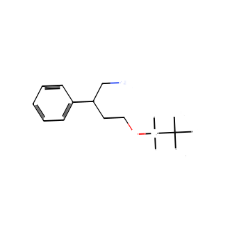 CC(C)(C)[Si](C)(C)OCCC(CN)c1ccccc1